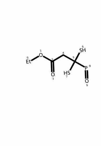 CCOC(=O)CC(S)(S)P=O